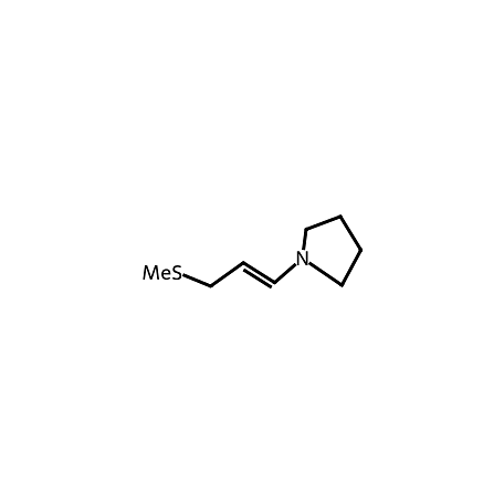 CSCC=CN1CCCC1